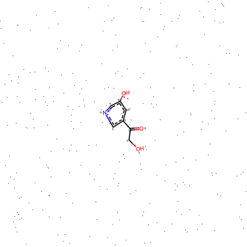 O=C(CO)c1cncc(O)c1